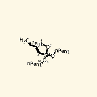 C=CC=C[Si](OCCCCC)(OCCCCC)OCCCCC